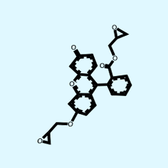 O=C(OCC1CO1)c1ccccc1-c1c2ccc(=O)cc-2oc2cc(OCC3CO3)ccc12